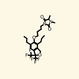 CCCc1cc2c(c(CCC)c1OCCCCN1C(=O)C(C)N(C)C1=O)COC2(C(F)(F)F)C(F)(F)F